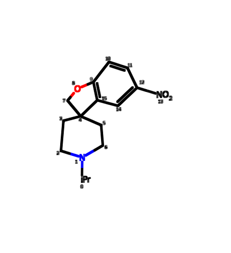 CC(C)N1CCC2(CC1)COc1ccc([N+](=O)[O-])cc12